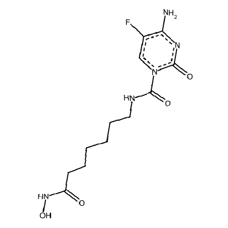 Nc1nc(=O)n(C(=O)NCCCCCCC(=O)NO)cc1F